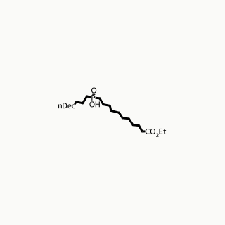 CCCCCCCCCCCCCP(=O)(O)CCCCCCCCCCC(=O)OCC